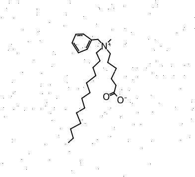 CCCCCCCCCCCCC[N+](C)(CCCCCC(=O)[O-])Cc1ccccc1